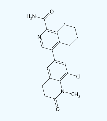 CN1C(=O)CCc2cc(-c3cnc(C(N)=O)c4c3CCC[CH]4)cc(Cl)c21